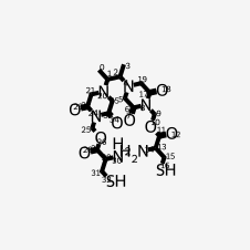 CC(C(C)N1CC(=O)N(COC(=O)C(N)CS)C(=O)C1)N1CC(=O)N(COC(=O)C(N)CS)C(=O)C1